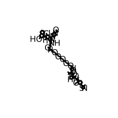 COc1cc(-c2scnc2C)ccc1[C@H](C)NC(=O)[C@@H]1CCCN1C(=O)C(c1cc(OCCOCCOCCOCCOCCN(C)C(=O)CCNc2nc(N3CCN(C(C)=O)CC3)c3cc(Cl)c(-c4cc(O)cc5ccccc45)c(F)c3n2)no1)C(C)C